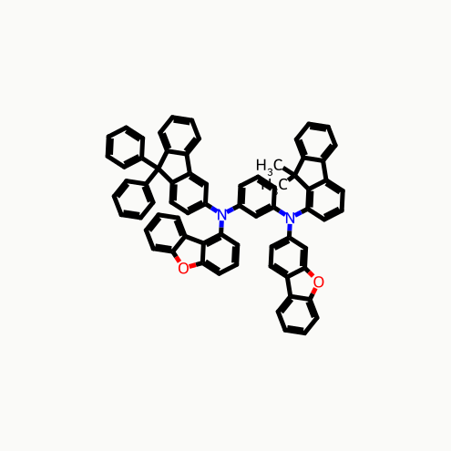 CC1(C)c2ccccc2-c2cccc(N(c3cccc(N(c4ccc5c(c4)-c4ccccc4C5(c4ccccc4)c4ccccc4)c4cccc5oc6ccccc6c45)c3)c3ccc4c(c3)oc3ccccc34)c21